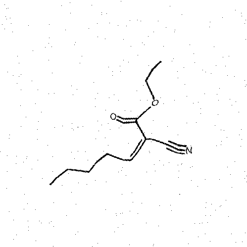 CCCCC=C(C#N)C(=O)OCC